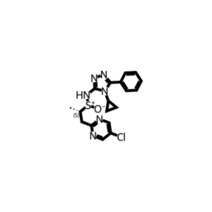 C[C@@H](Cc1ncc(Cl)cn1)[S+]([O-])Nc1nnc(-c2ccccc2)n1C1CC1